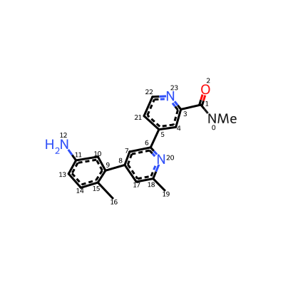 CNC(=O)c1cc(-c2cc(-c3cc(N)ccc3C)cc(C)n2)ccn1